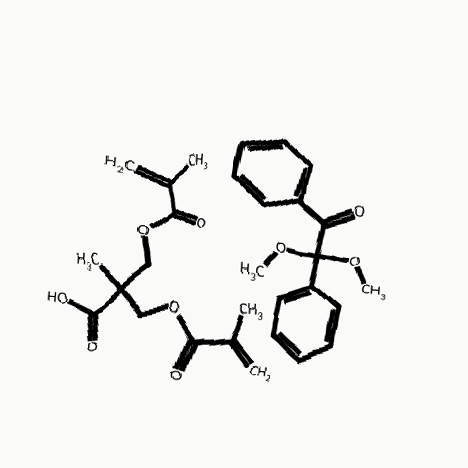 C=C(C)C(=O)OCC(C)(COC(=O)C(=C)C)C(=O)O.COC(OC)(C(=O)c1ccccc1)c1ccccc1